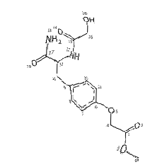 COC(=O)COc1ccc(CC(NC(=O)CO)C(N)=O)cc1